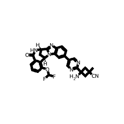 CC1(C#N)CC(N)(c2ncc(-c3ccc4nc5n(c4c3)[C@@H]3C[C@H]5NC(=O)c4cccc(OC(F)F)c43)cn2)C1